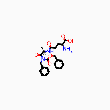 C[C@@H](NC(=O)CC[C@@H](N)C(=O)O)C(=O)[N+](Cc1ccccc1)C(=O)OCc1ccccc1